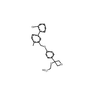 Cc1ccc(-c2ccccc2Cl)cc1COc1ccc(C2(OCC(=O)O)COC2)cc1